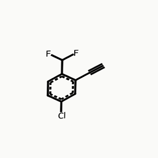 C#Cc1cc(Cl)ccc1C(F)F